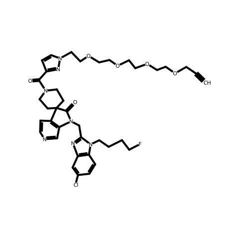 C#CCOCCOCCOCCOCCn1ccc(C(=O)N2CCC3(CC2)C(=O)N(Cc2nc4cc(Cl)ccc4n2CCCCF)c2cnccc23)n1